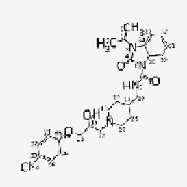 CC(C)n1c(=O)n(C(=O)NCC2CCN(CC(O)COc3ccc(Cl)cc3)CC2)c2ccccc21